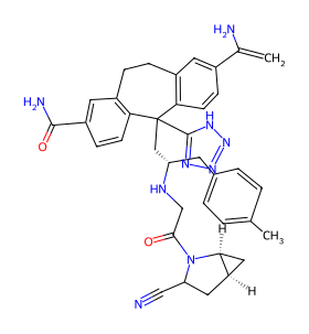 C=C(N)c1ccc2c(c1)CCc1cc(C(N)=O)ccc1C2(C[C@H](Cc1ccc(C)cc1)NCC(=O)N1C(C#N)C[C@@H]2C[C@@H]21)c1nnn[nH]1